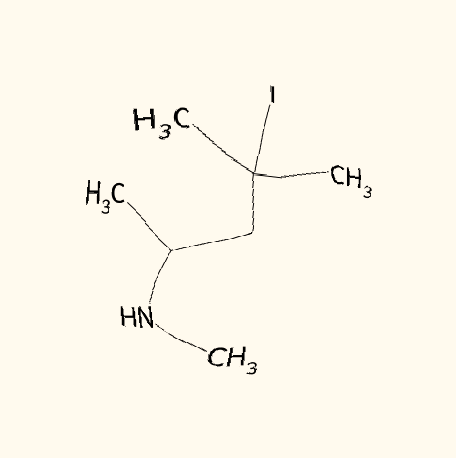 CNC(C)CC(C)(C)I